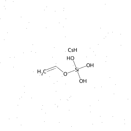 C=CO[Si](O)(O)O.[CsH]